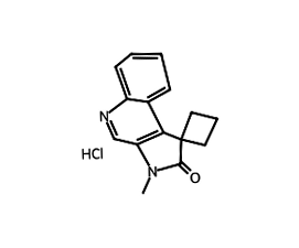 CN1C(=O)C2(CCC2)c2c1cnc1ccccc21.Cl